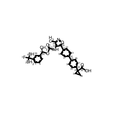 BC(B)(F)c1cccc([C@@H](C)OC(=O)Nc2c(C)noc2-c2ccc(-c3ccc(C4(C(=O)O)CC4)cc3)cc2)c1